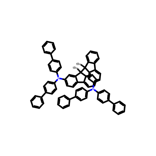 CC(C)(C)C1(C2(C(C)(C)C)c3ccccc3-c3ccc(N(c4ccc(-c5ccccc5)cc4)c4ccc(-c5ccccc5)cc4)cc32)c2ccccc2-c2ccc(N(c3ccc(-c4ccccc4)cc3)c3ccc(-c4ccccc4)cc3)cc21